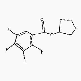 O=C(OC1CCCC1)c1cc(F)c(F)c(I)c1F